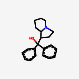 OC(c1ccccc1)(c1ccccc1)C1CCN2CCCCC12